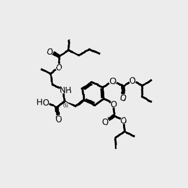 CCCC(C)C(=O)OC(C)CN[C@@H](Cc1ccc(OC(=O)OC(C)CC)c(OC(=O)OC(C)CC)c1)C(=O)O